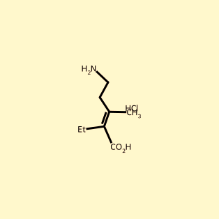 CCC(C(=O)O)=C(C)CCN.Cl